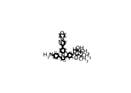 CC(C)[C@@H](C(=O)Nc1ccc(C2CCC(c3ccc(N)cc3)N2c2ccc(-c3ccc(N4CCOCC4)nc3)cc2)cc1)N(C)C(=O)O